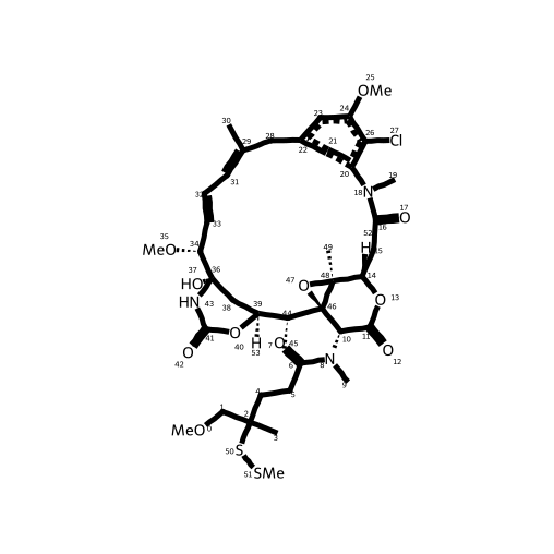 COCC(C)(CCC(=O)N(C)[C@H]1C(=O)O[C@H]2CC(=O)N(C)c3cc(cc(OC)c3Cl)C/C(C)=C/C=C/[C@@H](OC)[C@@]3(O)C[C@H](OC(=O)N3)[C@@H](C)[C@@]13O[C@@]23C)SSC